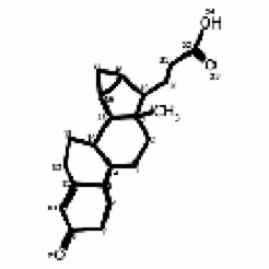 CC12CCC3C4CCC(=O)C=C4CCC3C1C1CC1C2CCC(=O)O